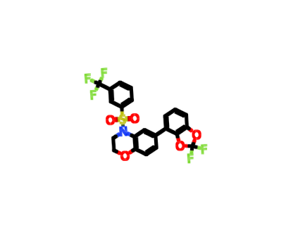 O=S(=O)(c1cccc(C(F)(F)F)c1)N1CCOc2ccc(-c3cccc4c3OC(F)(F)O4)cc21